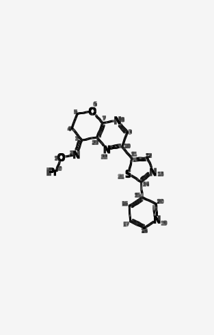 CC(C)O/N=C1\CCOc2ncc(-c3cnc(-c4cccnc4)s3)nc21